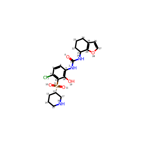 O=C(Nc1ccc(Cl)c(S(=O)(=O)[C@H]2CCCNC2)c1O)NC1CCCc2ccoc21